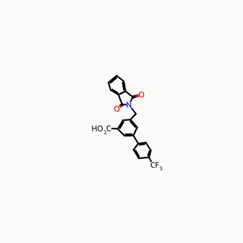 O=C(O)c1cc(CN2C(=O)c3ccccc3C2=O)cc(-c2ccc(C(F)(F)F)cc2)c1